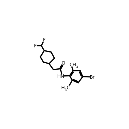 Cc1cc(Br)cc(C)c1NC(=O)CC1CCC(C(F)F)CC1